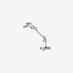 N=C(N)CCc1ccc(OCCCCCCCOc2ccc(CCC(=N)N)cc2)cc1